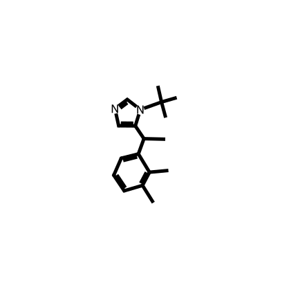 Cc1cccc(C(C)c2cncn2C(C)(C)C)c1C